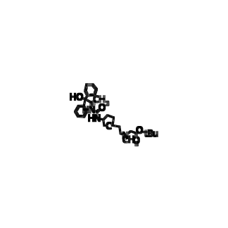 C[C@H](NC(=O)NC1CCC(CCN(C)CC(=O)OC(C)(C)C)CC1)C(O)(c1ccccc1)c1ccccc1